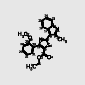 CCOC(=O)c1sc(-c2c(C)nn3ccccc23)nc1-c1ccccc1OC